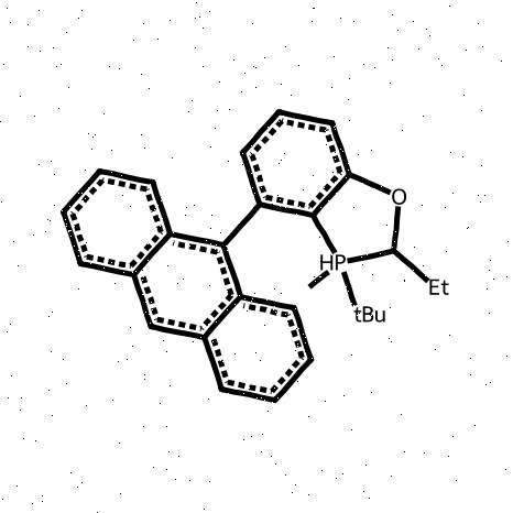 CCC1Oc2cccc(-c3c4ccccc4cc4ccccc34)c2[PH]1(C)C(C)(C)C